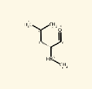 CN[C@@H]([C]=O)CC(C)C